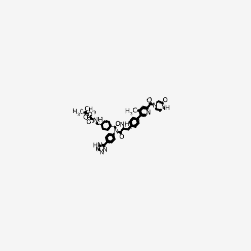 Cc1cc(C(=O)N2CCNC(=O)C2)ncc1-c1ccc(C[C@H](N)C(=O)N(c2ccc(-c3nnn[nH]3)cc2)C(=O)[C@H]2CC[C@H](CNC(=O)OC(C)(C)C)CC2)cc1